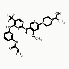 C=CC(=O)Nc1cccc(Nc2nc(Nc3cnc(N4CCN(C(C)O)CC4)cc3OC)ncc2C(F)(F)F)c1